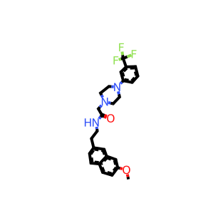 COc1ccc2ccc(CCNC(=O)CN3CCN(c4cccc(C(F)(F)F)c4)CC3)cc2c1